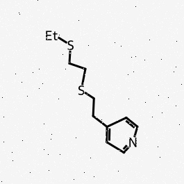 CCSCCSCCc1ccncc1